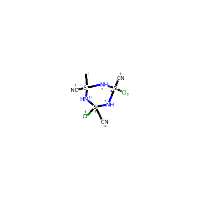 C[Si]1(C#N)N[Si](Cl)(C#N)N[Si](Cl)(C#N)N1